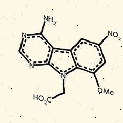 COc1cc([N+](=O)[O-])cc2c3c(N)ncnc3n(CC(=O)O)c12